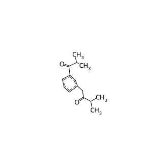 CC(C)C(=O)Cc1cccc(C(=O)C(C)C)c1